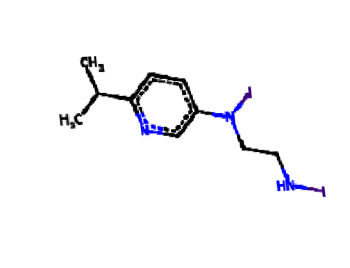 CC(C)c1ccc(N(I)CCNI)cn1